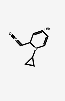 Br.O=C=CC1C=CC=CN1C1CC1